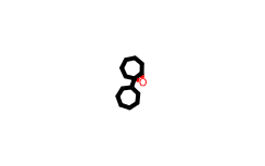 C1CCCC(C23CCCCCC2O3)CC1